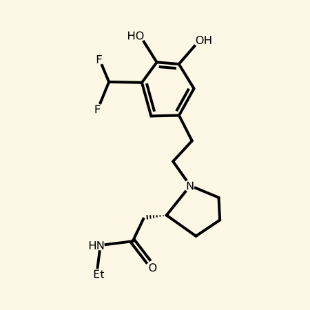 CCNC(=O)C[C@H]1CCCN1CCc1cc(O)c(O)c(C(F)F)c1